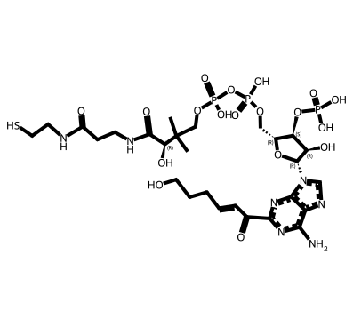 CC(C)(COP(=O)(O)OP(=O)(O)OC[C@H]1O[C@@H](n2cnc3c(N)nc(C(=O)C=CCCCO)nc32)[C@H](O)[C@@H]1OP(=O)(O)O)[C@@H](O)C(=O)NCCC(=O)NCCS